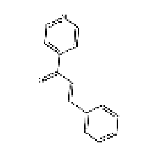 O=C(C=Cc1ccccc1)c1ccncc1